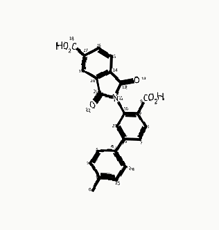 Cc1ccc(-c2ccc(C(=O)O)c(N3C(=O)c4ccc(C(=O)O)cc4C3=O)c2)cc1